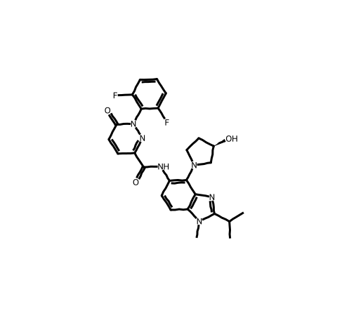 CC(C)c1nc2c(N3CC[C@@H](O)C3)c(NC(=O)c3ccc(=O)n(-c4c(F)cccc4F)n3)ccc2n1C